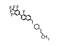 CCCC[C@H]1CC[C@H](CCc2ccc3c(F)c(-c4cc(F)c(C(F)(F)F)c(F)c4)ccc3c2)CC1